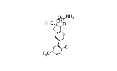 CC1(C)Cc2cc(-c3cc(C(F)(F)F)ccc3Cl)ccc2C1OC(N)=O